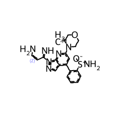 C[C@@H]1COCCN1c1cc(-c2ccccc2[S+](N)[O-])c2cnn(C(=N)/C=C\N)c2n1